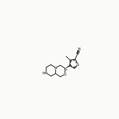 Cc1c([C@@H]2CN3CCNCC3CO2)csc1C#N